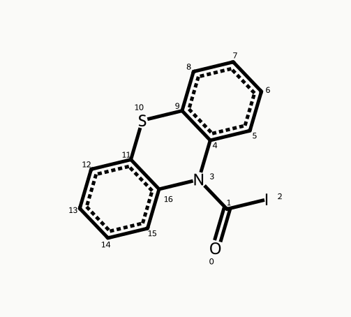 O=C(I)N1c2ccccc2Sc2ccccc21